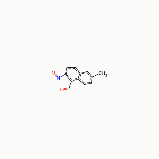 Cc1ccc2c(C=O)c(N=O)ccc2c1